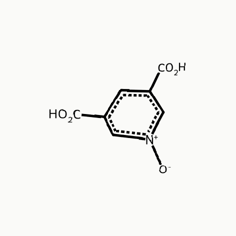 O=C(O)c1cc(C(=O)O)c[n+]([O-])c1